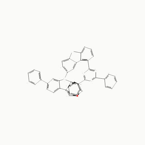 c1ccc(-c2ccc3c4ccccc4n(-c4ccc5oc6cccc(-c7nc(-c8ccccc8)nc(-c8ccccc8)n7)c6c5c4)c3c2)cc1